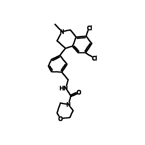 CN1Cc2c(Cl)cc(Cl)cc2C(c2cccc(CNC(=O)N3CCOCC3)c2)C1